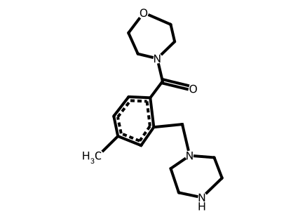 Cc1ccc(C(=O)N2CCOCC2)c(CN2CCNCC2)c1